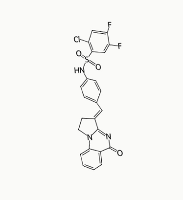 O=c1nc2n(c3ccccc13)CC/C2=C\c1ccc(NS(=O)(=O)c2cc(F)c(F)cc2Cl)cc1